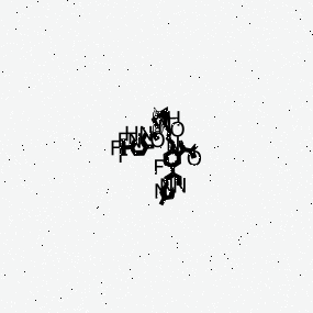 CC(=O)c1cn(CC(=O)N2[C@H](C(=O)Nc3nc(C(F)(F)F)ccc3C)C[C@@]3(C)C[C@@H]23)c2cc(F)c(-c3cnc4cc(C)nn4c3)cc12